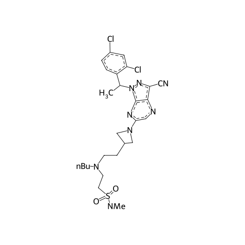 CCCCN(CCC1CN(c2cnc3c(C#N)nn(C(C)c4ccc(Cl)cc4Cl)c3n2)C1)CCS(=O)(=O)NC